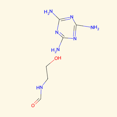 Nc1nc(N)nc(N)n1.O=CNCCO